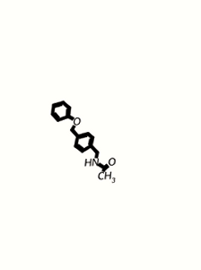 CC(=O)NCc1ccc(COc2ccccc2)cc1